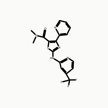 CN(C)C(=O)c1sc(Nc2cc(C(F)(F)F)ccn2)nc1-c1ccccn1